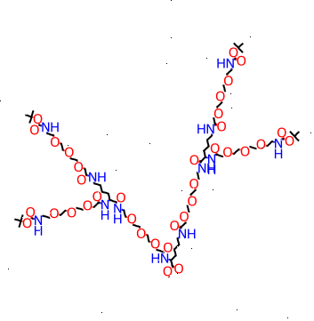 COC(=O)C(CCCCNC(=O)COCCOCCOCCNC(=O)C(CCCCNC(=O)COCCOCCOCCNC(=O)OC(C)(C)C)NC(=O)COCCOCCOCCNC(=O)OC(C)(C)C)NC(=O)COCCOCCOCCNC(=O)C(CCCCNC(=O)COCCOCCOCCNC(=O)OC(C)(C)C)NC(=O)COCCOCCOCCNC(=O)OC(C)(C)C